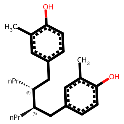 CCC[C@H](Cc1ccc(O)c(C)c1)[C@H](CCC)Cc1ccc(O)c(C)c1